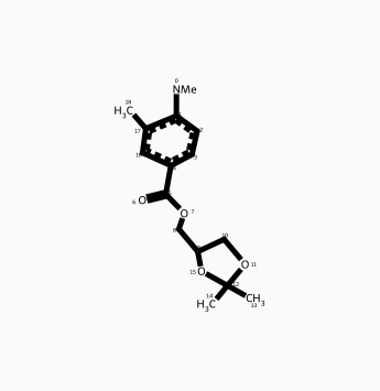 CNc1ccc(C(=O)OCC2COC(C)(C)O2)cc1C